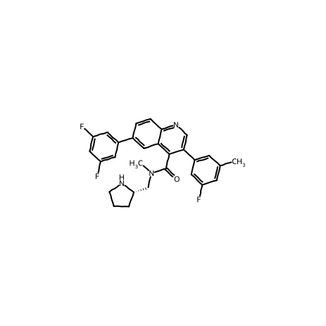 Cc1cc(F)cc(-c2cnc3ccc(-c4cc(F)cc(F)c4)cc3c2C(=O)N(C)C[C@@H]2CCCN2)c1